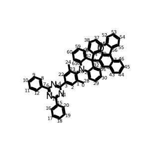 Cc1cc(-c2nc(-c3ccccc3)nc(-c3ccccc3)n2)cc(C)c1N1c2ccccc2C(c2ccccc2)(c2cc3ccccc3c3c2oc2ccccc23)c2ccccc21